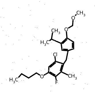 CCCCOc1cc(Cl)c(Cc2ccc(OCOC)c(C(C)C)c2)c(C)c1F